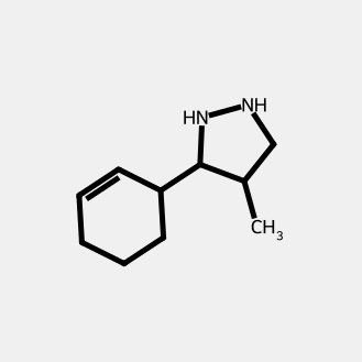 CC1CNNC1C1C=CCCC1